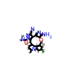 Cc1ccc2c(n1)-c1ccc(F)cc1[C@@H](C)Oc1cc(cnc1N)-c1c(C#N)nn(C(=O)N(C)C)c1C2